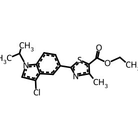 CCOC(=O)c1sc(-c2ccc3c(c2)c(Cl)cn3C(C)C)nc1C